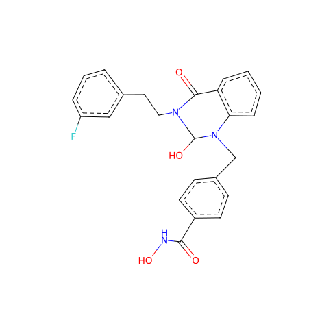 O=C(NO)c1ccc(CN2c3ccccc3C(=O)N(CCc3cccc(F)c3)C2O)cc1